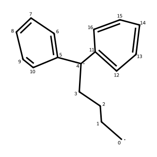 [CH2]CCC[C](c1ccccc1)c1ccccc1